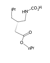 CCCOC(=O)C[C@@H](CNC(=O)O)CC(C)C